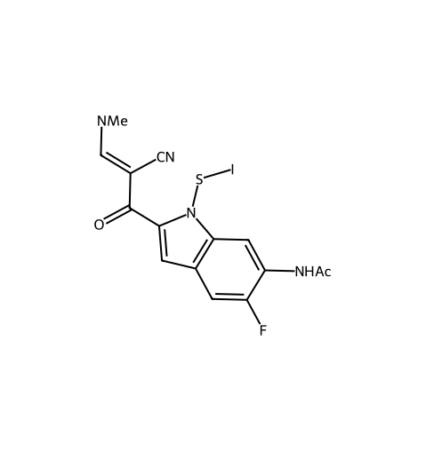 CN/C=C(\C#N)C(=O)c1cc2cc(F)c(NC(C)=O)cc2n1SI